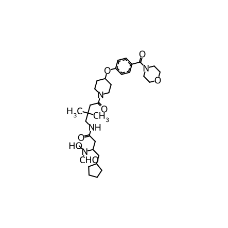 CC(C)(CNC(=O)CC(CC1CCCC1)N(O)C=O)CC(=O)N1CCC(Oc2ccc(C(=O)N3CCOCC3)cc2)CC1